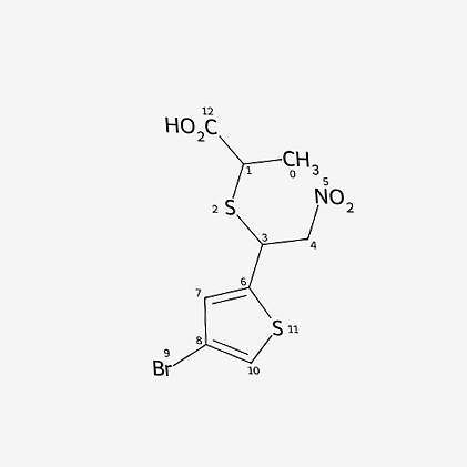 CC(SC(C[N+](=O)[O-])c1cc(Br)cs1)C(=O)O